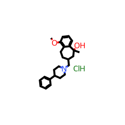 COc1cccc2c1CCC(CN1CCC(c3ccccc3)CC1)CC2(C)O.Cl